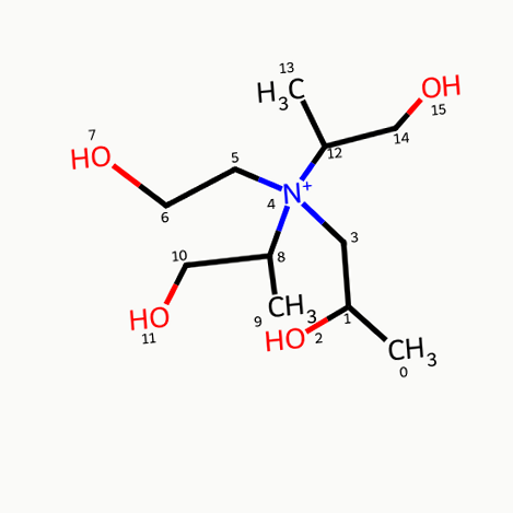 CC(O)C[N+](CCO)(C(C)CO)C(C)CO